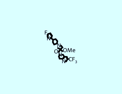 COCC1(C(=O)N2CCc3ncc(C(F)(F)F)cc3C2)CCN(C2CCC(c3ccc(F)cn3)CC2)C1